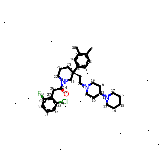 Cc1ccc([C@@]2(CCN3CCC(N4CCCCC4)CC3)CCCN(C(=O)Cc3c(F)cccc3Cl)C2)cc1C